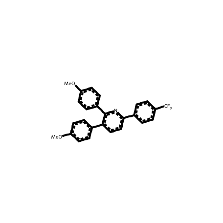 COc1ccc(-c2ccc(-c3ccc(C(F)(F)F)cc3)nc2-c2ccc(OC)cc2)cc1